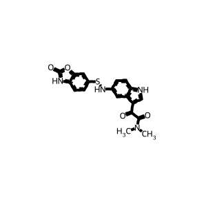 CN(C)C(=O)C(=O)c1c[nH]c2ccc(NSc3ccc4[nH]c(=O)oc4c3)cc12